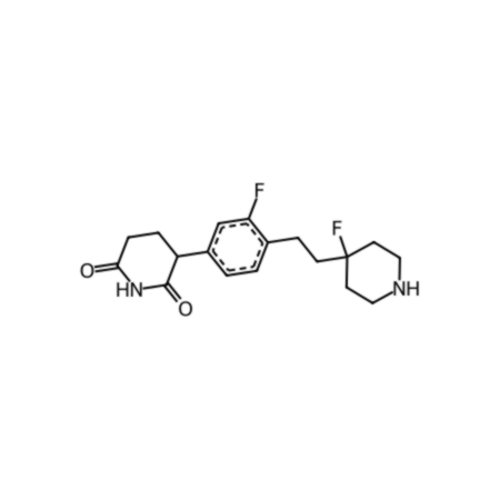 O=C1CCC(c2ccc(CCC3(F)CCNCC3)c(F)c2)C(=O)N1